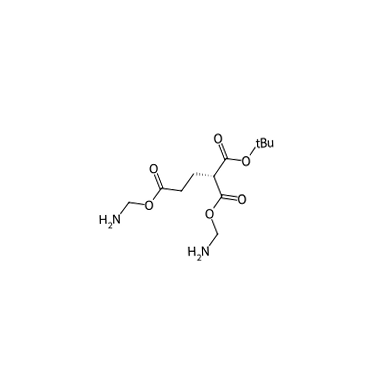 CC(C)(C)OC(=O)[C@@H](CCC(=O)OCN)C(=O)OCN